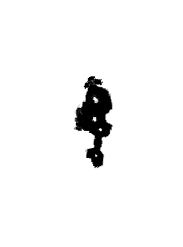 C[Si](C)(C)c1ccc2c(c1)C([Si](C)(C)C)([Si](C)(C)C)c1cc(C#Cc3ccccc3)ccc1-2